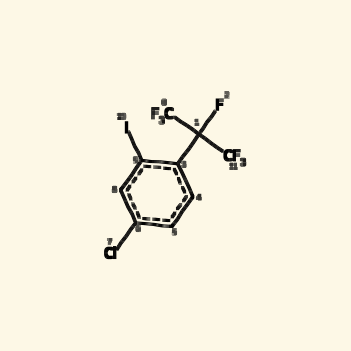 FC(F)(F)C(F)(c1ccc(Cl)cc1I)C(F)(F)F